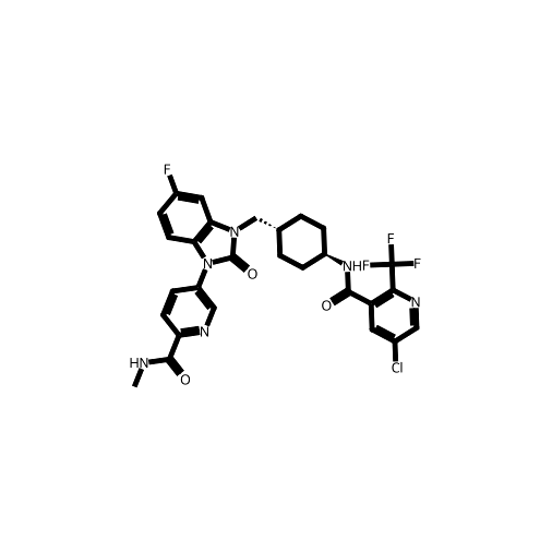 CNC(=O)c1ccc(-n2c(=O)n(C[C@H]3CC[C@H](NC(=O)c4cc(Cl)cnc4C(F)(F)F)CC3)c3cc(F)ccc32)cn1